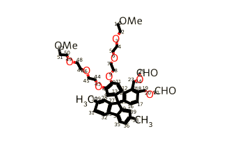 COCCOCCOCCOc1ccc(C2(c3ccc(COC=O)c(COC=O)c3)c3cc(C)ccc3-c3ccc(C)cc32)cc1OCCOCCOCCOC